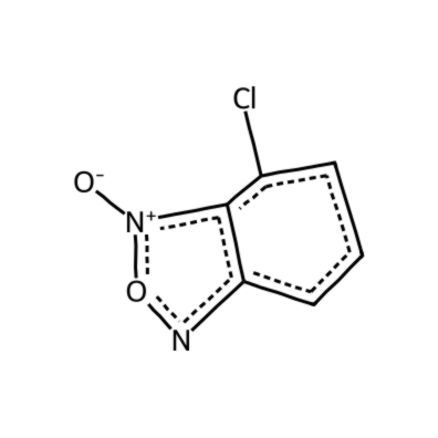 [O-][n+]1onc2cccc(Cl)c21